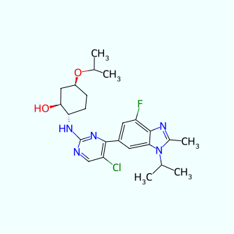 Cc1nc2c(F)cc(-c3nc(N[C@H]4CC[C@H](OC(C)C)C[C@@H]4O)ncc3Cl)cc2n1C(C)C